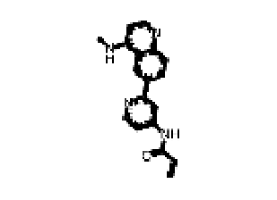 C=CC(=O)Nc1ccnc(-c2ccc3nccc(NC)c3c2)c1